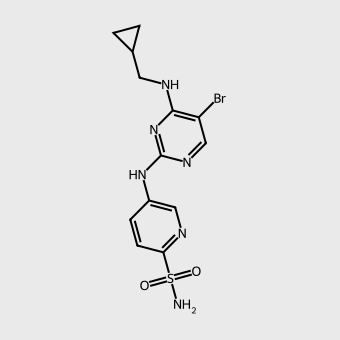 NS(=O)(=O)c1ccc(Nc2ncc(Br)c(NCC3CC3)n2)cn1